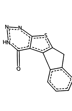 O=c1[nH]nnc2sc3c(c12)-c1ccccc1C3